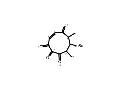 CCCCC1C(C)C(=O)C=CC(=O)C(=O)C(=O)C1C